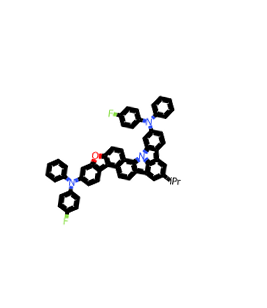 CC(C)c1cc2c3ccc(N(c4ccccc4)c4ccc(F)cc4)cc3n3c4c5ccc6oc7cc(N(c8ccccc8)c8ccc(F)cc8)ccc7c6c5ccc4c(c1)c23